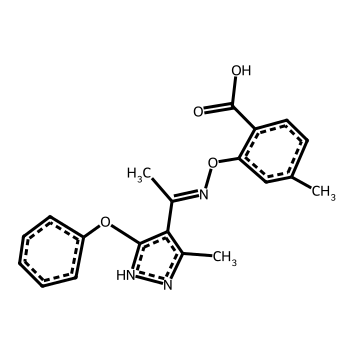 C/C(=N\Oc1cc(C)ccc1C(=O)O)c1c(C)n[nH]c1Oc1ccccc1